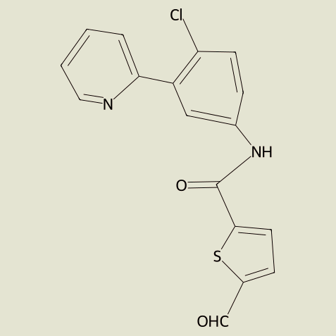 O=Cc1ccc(C(=O)Nc2ccc(Cl)c(-c3ccccn3)c2)s1